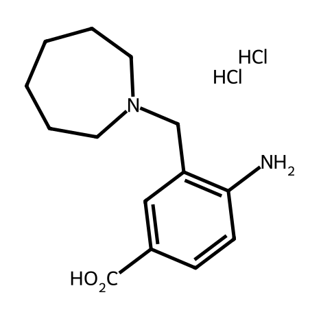 Cl.Cl.Nc1ccc(C(=O)O)cc1CN1CCCCCC1